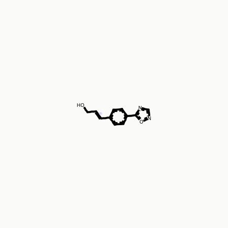 OC/C=C/c1ccc(-c2ncno2)cc1